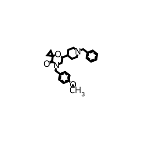 COc1ccc(CN2CC(C3CCN(Cc4ccccc4)CC3)OC3(CC3)C2=O)cc1